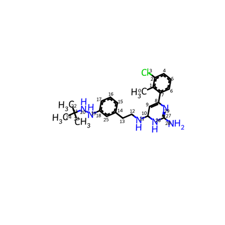 Cc1c(Cl)cccc1C1=CC(NCCc2cccc(NNC(C)(C)C)c2)NC(N)=N1